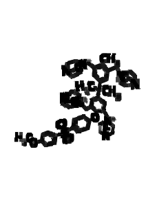 COc1ccc(S(=O)(=O)c2ccc(Oc3c(C[N+]45CCN(CC4)CC5)cc(C(C)(C)c4cc(C[N+]56CCN(CC5)CC6)c(C)c(C[N+]56CCN(CC5)CC6)c4)cc3C[N+]34CCN(CC3)CC4)cc2)cc1